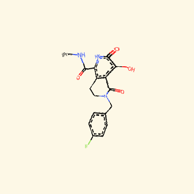 CC(C)NC(=O)c1[nH]c(=O)c(O)c2c1CCN(Cc1ccc(F)cc1)C2=O